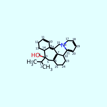 CC(C)C1(O)CC2=C3C(=C4C=CCCC41)CN1CC=CC=C1C3CCC2